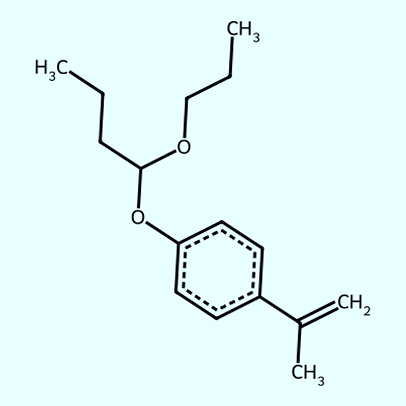 C=C(C)c1ccc(OC(CCC)OCCC)cc1